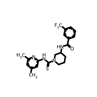 Cc1cc(C)nc(NC(=S)N2CCCC(NC(=O)c3cccc(C(F)(F)F)c3)C2)c1